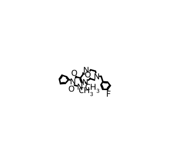 CN(c1c(C#N)c(=O)n(-c2ccccc2)c(=O)n1C)C1CN(Cc2ccc(F)cc2)CCO1